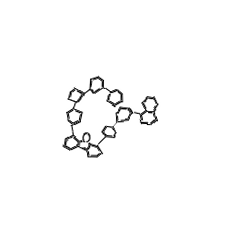 c1ccc(-c2cccc(-c3cccc(-c4ccc(-c5cccc6c5oc5c(-c7ccc(-c8cccc(-c9cccc%10ccccc9%10)c8)cc7)cccc56)cc4)c3)c2)cc1